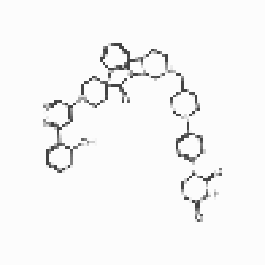 O=C1CC[C@H](c2ccc(N3CCC(CN4CCC5CN(C(=O)C6(c7ccccc7)CCN(c7cnnc(-c8ccccc8O)c7)CC6)C5C4)CC3)cc2)C(=O)N1